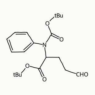 CC(C)(C)OC(=O)C(CCC=O)N(C(=O)OC(C)(C)C)c1ccccc1